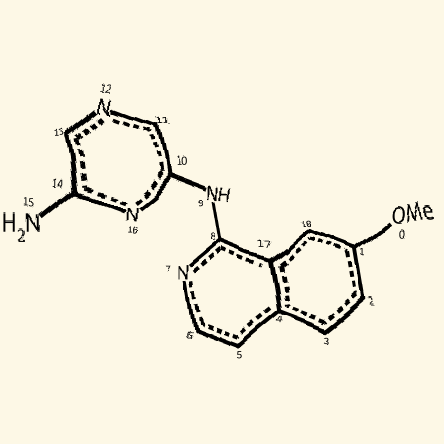 COc1ccc2ccnc(Nc3cncc(N)n3)c2c1